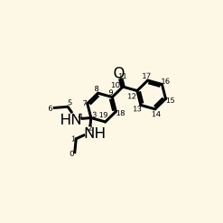 CCNC1(NCC)C=CC(C(=O)c2ccccc2)=CC1